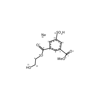 COC(=O)c1cc(C(=O)OCCO)cc(S(=O)(=O)O)c1.[Na]